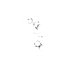 Cc1ccc(-c2csc(NC(=O)/C(C#N)=C/c3ccc(O)c(O)c3)n2)cn1